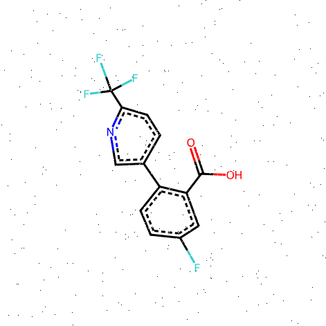 O=C(O)c1cc(F)ccc1-c1ccc(C(F)(F)F)nc1